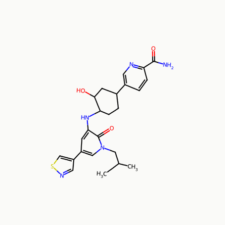 CC(C)Cn1cc(-c2cnsc2)cc(NC2CCC(c3ccc(C(N)=O)nc3)CC2O)c1=O